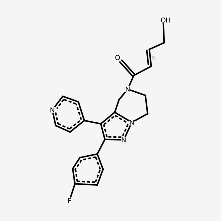 O=C(/C=C/CO)N1CCn2nc(-c3ccc(F)cc3)c(-c3ccncc3)c2C1